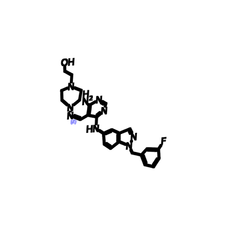 Nc1ncnc(Nc2ccc3c(cnn3Cc3cccc(F)c3)c2)c1/C=N\N1CCN(CCO)CC1